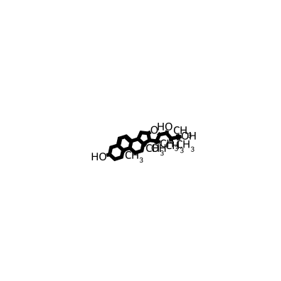 CC(C(O)C1OC2CC3C4=CC=C5CC(O)CCC5(C)C4CCC3(C)C2C1(C)O)C(C)(C)O